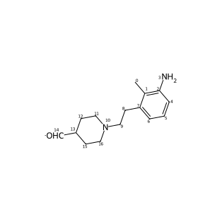 Cc1c(N)cccc1CCN1CCC([C]=O)CC1